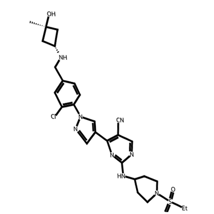 CCS(=O)(=O)N1CCC(Nc2ncc(C#N)c(-c3cnn(-c4ccc(CN[C@H]5C[C@](C)(O)C5)cc4Cl)c3)n2)CC1